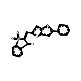 O=C1/C(=C\c2cc3sc(-c4ccccc4)cc3o2)S(=O)(=O)c2ccccc21